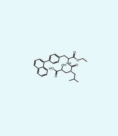 CCOC(=O)C(Cc1ccc(-c2cccc3ccccc23)cc1)NC(=O)N(CC(C)C)CC(O)C(=O)O